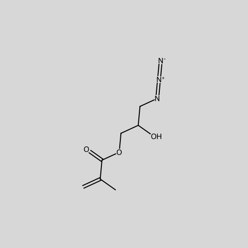 C=C(C)C(=O)OCC(O)CN=[N+]=[N-]